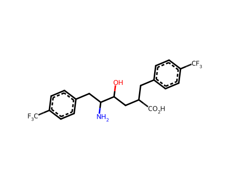 NC(Cc1ccc(C(F)(F)F)cc1)C(O)CC(Cc1ccc(C(F)(F)F)cc1)C(=O)O